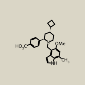 COc1cc(C)c2[nH]ccc2c1CN1CC[C@@H](C2CCC2)C[C@@H]1c1ccc(C(=O)O)cc1